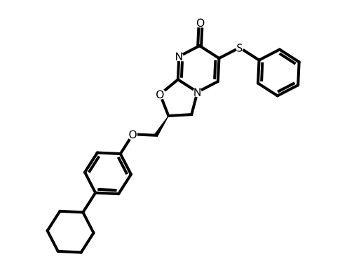 O=c1nc2n(cc1Sc1ccccc1)C[C@@H](COc1ccc(C3CCCCC3)cc1)O2